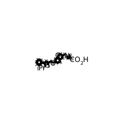 CC(C)c1sc(COc2ccc3c(c2)OCC(CN2CC(C(=O)O)C2)=C3)cc1-c1ccccc1